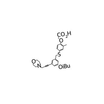 Cc1cc(SCc2cc(C#CCN3CCOCC3)cc(OCC(C)C)c2)ccc1OCC(=O)O